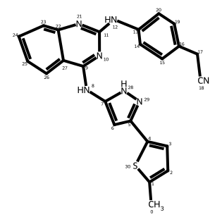 Cc1ccc(-c2cc(Nc3nc(Nc4ccc(CC#N)cc4)nc4ccccc34)[nH]n2)s1